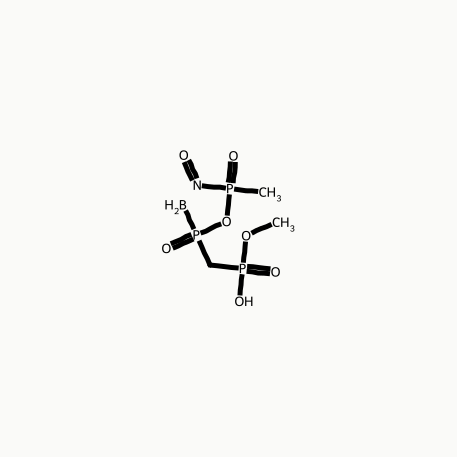 BP(=O)(CP(=O)(O)OC)OP(C)(=O)N=O